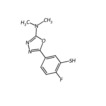 CN(C)c1nnc(-c2ccc(F)c(S)c2)o1